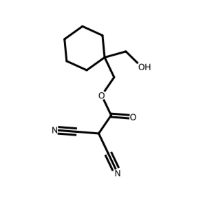 N#CC(C#N)C(=O)OCC1(CO)CCCCC1